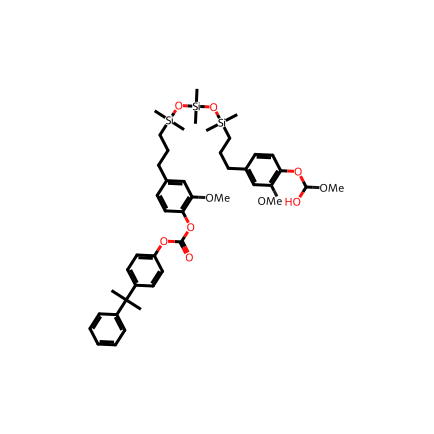 COc1cc(CCC[Si](C)(C)O[Si](C)(C)O[Si](C)(C)CCCc2ccc(OC(O)OC)c(OC)c2)ccc1OC(=O)Oc1ccc(C(C)(C)c2ccccc2)cc1